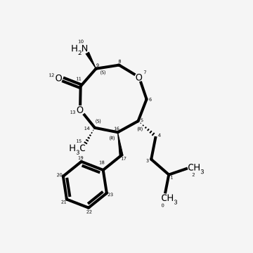 CC(C)CC[C@H]1COC[C@H](N)C(=O)O[C@@H](C)[C@@H]1Cc1ccccc1